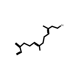 C=CC(=C)CCC=C(C)CCC=C(C)CCC(C)=O